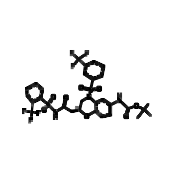 CC(C)(C)OC(=O)Nc1ccc2c(c1)N(S(=O)(=O)c1cccc(C(F)(F)F)c1)C[C@H](CC(=O)NS(=O)(=O)c1ccccc1C(F)(F)F)O2